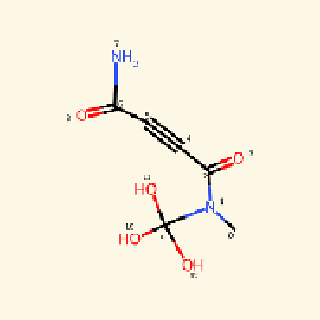 CN(C(=O)C#CC(N)=O)C(O)(O)O